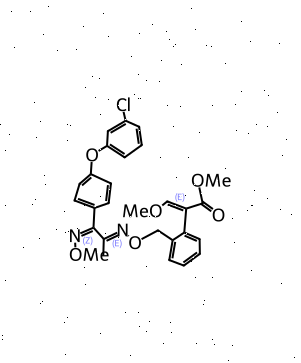 CO/C=C(/C(=O)OC)c1ccccc1CO/N=C(C)/C(=N\OC)c1ccc(Oc2cccc(Cl)c2)cc1